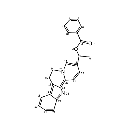 CC(OC(=O)c1ccccc1)C1=CN2CCC3=c4ccccc4=NC3=C2C=C1